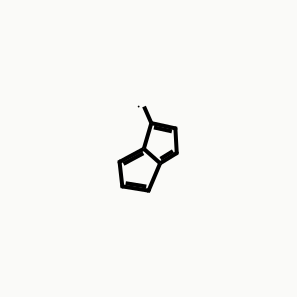 [CH2]C1=CC=C2C=CC=C12